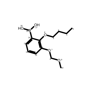 CCCCOc1c(OCOC)cccc1B(O)O